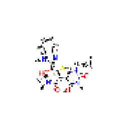 Cn1c(=O)c2c(C(=O)N3CCC3)c(C(O)c3nc4ccccc4n3C)sc2n(CC2CC2)c1=O